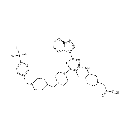 N#CC(=O)CN1CCC[C@@H](Nc2nc(-c3cnn4ccccc34)nc(N3CCN(CC4CCN(Cc5ccc(C(F)(F)F)cc5)CC4)CC3)c2F)C1